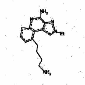 CCn1cc2c(n1)c(N)nc1cccc(CCCCN)c12